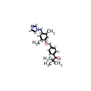 Cc1cc(OCc2ccc(C(=O)C(C)(C)C)cc2)c(C)cc1Cn1ccnc1